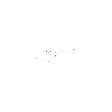 O=C(CNCCN1CCCC1)N[C@@H]1CCN(C(=O)c2cn3c4c(c(N5CC[C@@H](NC(=O)CNCCN6CCCC6)C5)c(F)cc4c2=O)Oc2cc4c(cc2-3)oc2ccccc24)C1